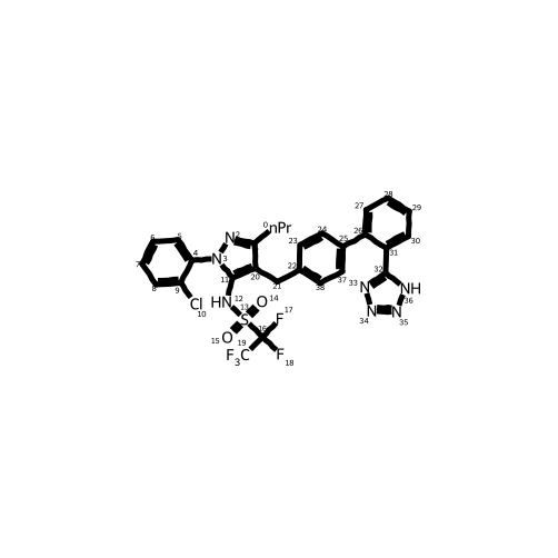 CCCc1nn(-c2ccccc2Cl)c(NS(=O)(=O)C(F)(F)C(F)(F)F)c1Cc1ccc(-c2ccccc2-c2nnn[nH]2)cc1